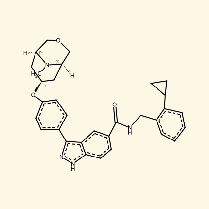 CN1[C@@H]2COC[C@H]1C[C@@H](Oc1ccc(-c3n[nH]c4ccc(C(=O)NCc5ccccc5C5CC5)cc34)cc1)C2